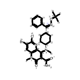 Cn1c(=O)c(C(N)=O)c(N(C)[C@H]2CC[C@@H](/C(=N/OC(C)(C)C)c3ccccc3)CC2)c2nc(Cl)c(Br)cc21